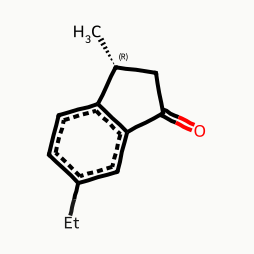 CCc1ccc2c(c1)C(=O)C[C@H]2C